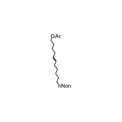 CCCCCCCCCCCCCCC=CCCCCOC(C)=O